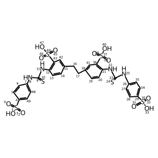 O=S(=O)(O)c1ccc(NC(=S)Nc2ccc(CCc3ccc(NC(=S)Nc4ccc(S(=O)(=O)O)cc4)c(S(=O)(=O)O)c3)cc2S(=O)(=O)O)cc1